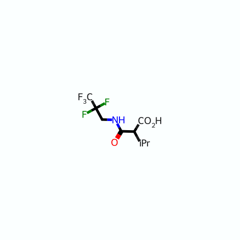 CC(C)C(C(=O)O)C(=O)NCC(F)(F)C(F)(F)F